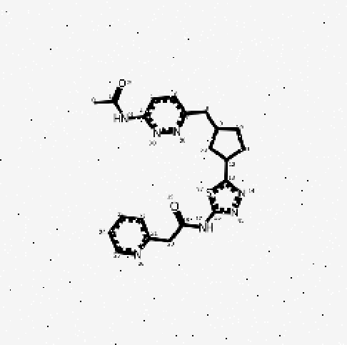 CC(=O)Nc1ccc(CC2CCC(c3nnc(NC(=O)Cc4ccccn4)s3)C2)nn1